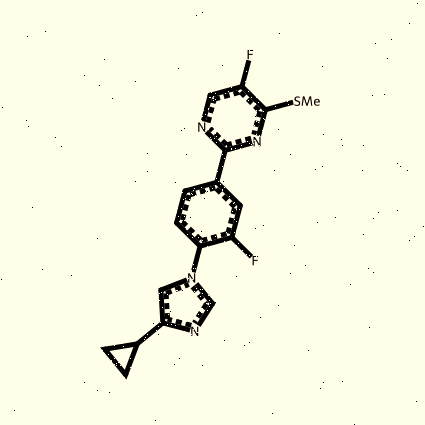 CSc1nc(-c2ccc(-n3cnc(C4CC4)c3)c(F)c2)ncc1F